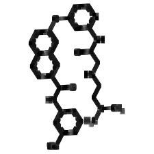 CN(C)CCNCC(=O)Nc1cc(Oc2ccc3ccc(C(=O)Nc4cccc(C(C)(C)C)c4)cc3c2)ccn1